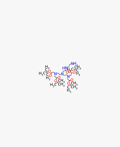 CC(C)(C)OC(=O)CN(CCN(CCN(CC(=O)OC(C)(C)C)CC(=O)OC(C)(C)C)CC(=O)NCCN)CC(=O)OC(C)(C)C